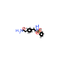 NC(=O)Cc1ccc(CCNS(=O)(=O)c2ccccc2)cc1